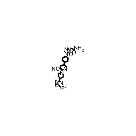 CC(C)c1nc(C2CCN(c3ncc(-c4ccc(-n5cnn(CC(N)=O)c5=O)cc4)cc3C#N)CC2)no1